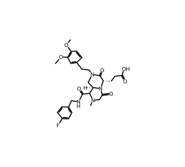 COc1ccc(CCN2C[C@@H]3C(C(=O)NCc4ccc(F)cc4)N(C)CC(=O)N3[C@@H](CCC(=O)O)C2=O)cc1OC